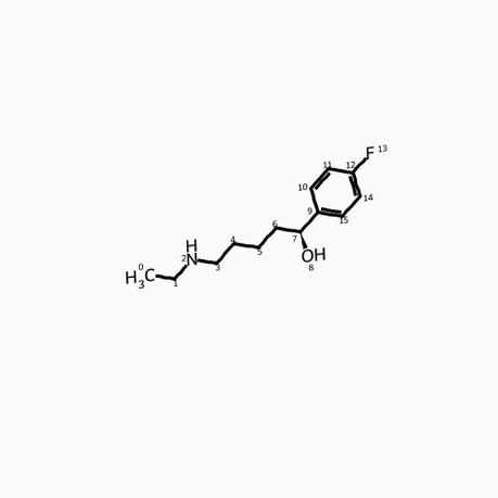 CCNCCCC[C@H](O)c1ccc(F)cc1